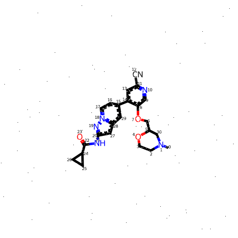 CN1CCOC(COc2cnc(C#N)cc2-c2ccn3nc(NC(=O)C4CC4)cc3c2)C1